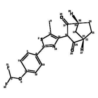 Cc1sc(-c2ccc(OC(F)F)cc2)nc1C1C(=O)[C@@H]2CC[C@@H](C2)C1=O